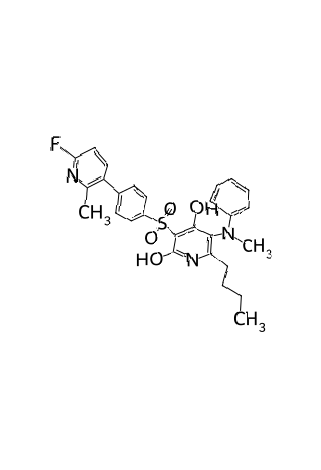 CCCCc1nc(O)c(S(=O)(=O)c2ccc(-c3ccc(F)nc3C)cc2)c(O)c1N(C)c1ccccc1